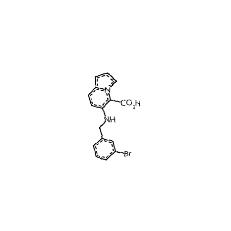 O=C(O)c1c(NCc2cccc(Br)c2)ccc2cccn12